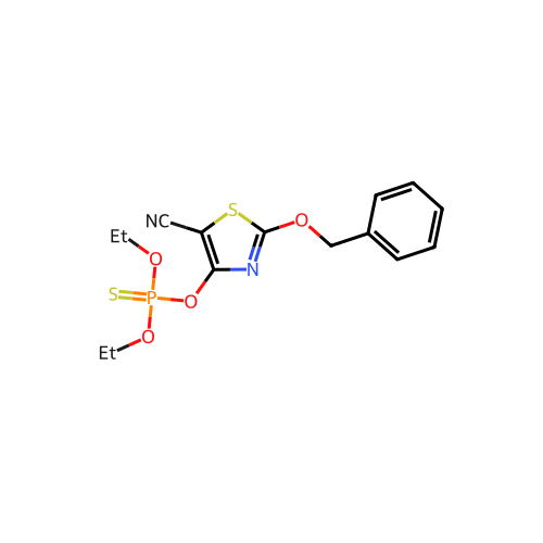 CCOP(=S)(OCC)Oc1nc(OCc2ccccc2)sc1C#N